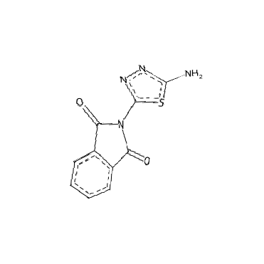 Nc1nnc(N2C(=O)c3ccccc3C2=O)s1